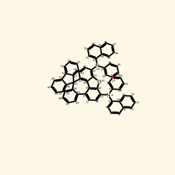 c1ccc(N(c2cccc3ccccc23)c2ccc3c4c2oc2c(N(c5ccccc5)c5cccc6ccccc56)ccc(c24)C2(c4ccccc4-c4ccccc42)c2ccccc2-3)cc1